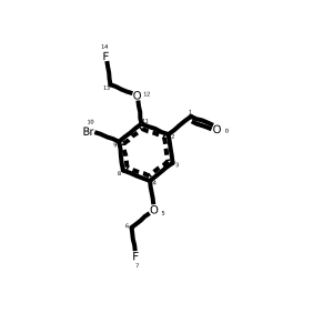 O=Cc1cc(OCF)cc(Br)c1OCF